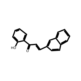 O=C(C=Cc1ccc2ccccc2c1)c1ccccc1O